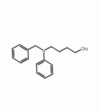 OCCCCN(Cc1ccccc1)c1ccccc1